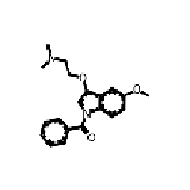 COc1ccc2c(c1)c(OCCN(C)C)cn2C(=O)c1ccccc1